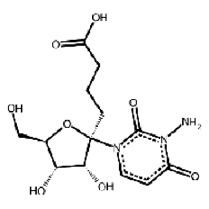 Nn1c(=O)ccn([C@]2(CCCC(=O)O)O[C@H](CO)[C@@H](O)[C@H]2O)c1=O